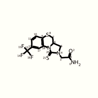 NC(=O)CN1CC2CSc3ccc(C(F)(F)F)cc3N2C1=S